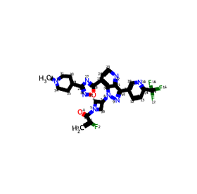 C=C(F)C(=O)N1CC(n2nc(-c3ccc(C(F)(F)F)nc3)c3nccc(-c4nc(C5CCN(C)CC5)no4)c32)C1